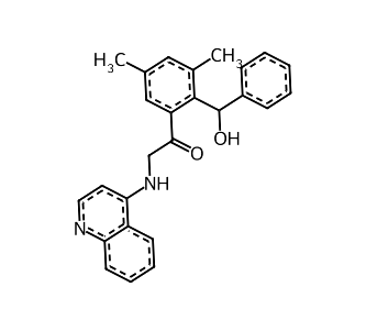 Cc1cc(C)c(C(O)c2ccccc2)c(C(=O)CNc2ccnc3ccccc23)c1